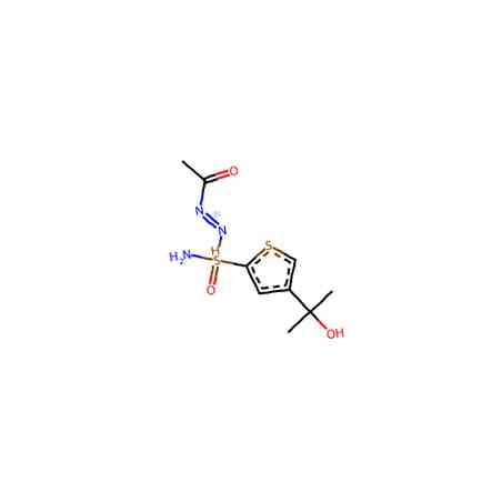 CC(=O)/N=N/[SH](N)(=O)c1cc(C(C)(C)O)cs1